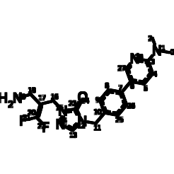 CN(C)c1ccc(-c2ccc(Cn3cnn(CC(CN)=C(F)F)c3=O)cc2)cn1